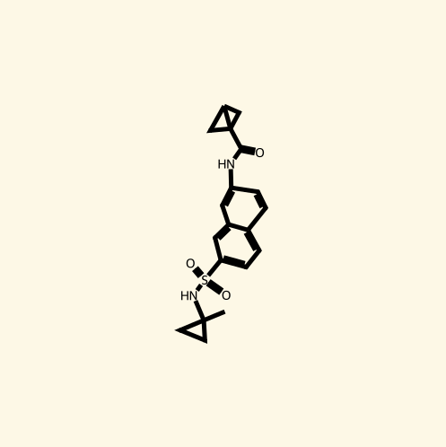 CC1(NS(=O)(=O)c2ccc3ccc(NC(=O)C45CC4C5)cc3c2)CC1